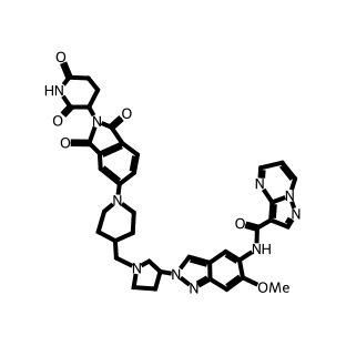 COc1cc2nn(C3CCN(CC4CCN(c5ccc6c(c5)C(=O)N(C5CCC(=O)NC5=O)C6=O)CC4)C3)cc2cc1NC(=O)c1cnn2cccnc12